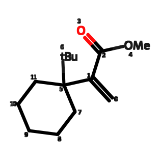 C=C(C(=O)OC)C1(C(C)(C)C)CCCCC1